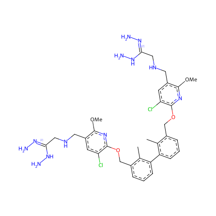 COc1nc(OCc2cccc(-c3cccc(COc4nc(OC)c(CNC/C(=N/N)NN)cc4Cl)c3C)c2C)c(Cl)cc1CNC/C(=N/N)NN